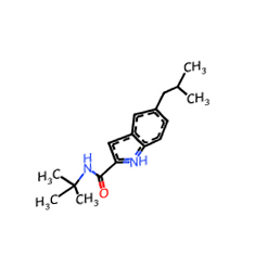 CC(C)Cc1ccc2[nH]c(C(=O)NC(C)(C)C)cc2c1